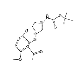 COc1ccc(Cl)c(O[C@@H]2CC[C@H](NC(=O)OC(C)(C)C)C2)c1C(C)=O